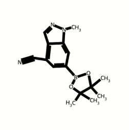 Cn1ncc2c(C#N)cc(B3OC(C)(C)C(C)(C)O3)cc21